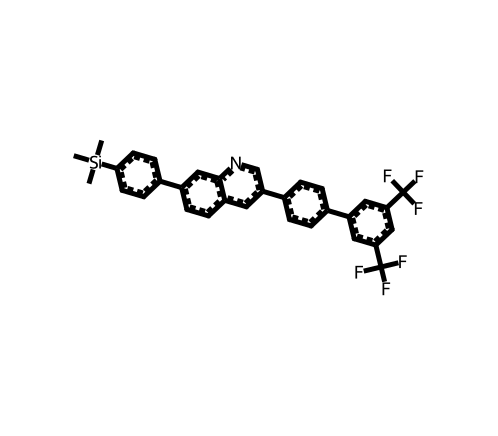 C[Si](C)(C)c1ccc(-c2ccc3cc(-c4ccc(-c5cc(C(F)(F)F)cc(C(F)(F)F)c5)cc4)cnc3c2)cc1